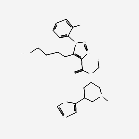 COCCCCc1c(C(=O)N(CC(C)C)[C@H]2CC(c3cnco3)CN(C(=O)O)C2)nnn1-c1ccccc1F